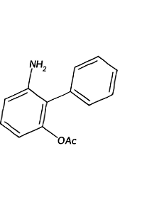 CC(=O)Oc1cccc(N)c1-c1ccccc1